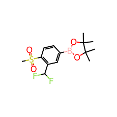 CC1(C)OB(c2ccc(S(C)(=O)=O)c(C(F)F)c2)OC1(C)C